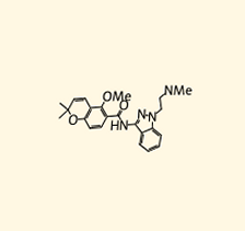 CNCCn1nc(NC(=O)c2ccc3c(c2OC)C=CC(C)(C)O3)c2ccccc21